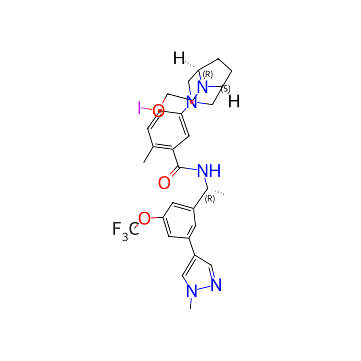 Cc1ccc(N2C[C@H]3CC[C@@H](C2)N3CCOI)cc1C(=O)N[C@H](C)c1cc(OC(F)(F)F)cc(-c2cnn(C)c2)c1